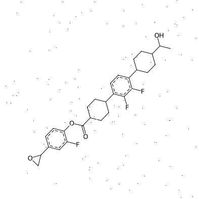 CC(O)C1CCC(c2ccc(C3CCC(C(=O)Oc4ccc(C5CO5)cc4F)CC3)c(F)c2F)CC1